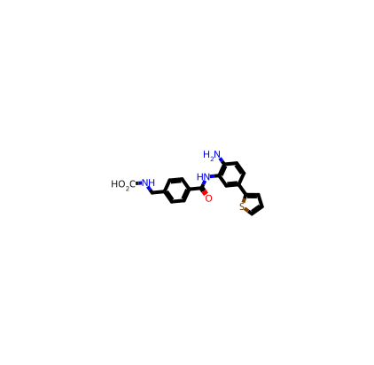 Nc1ccc(-c2cccs2)cc1NC(=O)c1ccc(CNC(=O)O)cc1